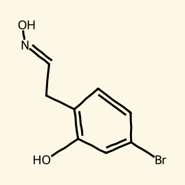 O/N=C/Cc1ccc(Br)cc1O